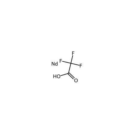 O=C(O)C(F)(F)F.[Nd]